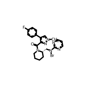 Cn1cc(-c2ccc(F)cc2)c(C(=O)N2CCCC[C@H]2CN(Br)c2ncccn2)n1